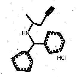 C#CCC(C)NC(c1ccccc1)c1ccccc1.Cl